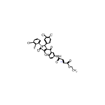 CCOC(=O)/C=C/C(=O)Nc1cccc(C(=O)C2=C(O)C(=O)N(c3cccc(Cl)c3F)C2c2ccc(Cl)c(Cl)c2)c1